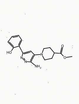 COC(=O)C1CCN(c2cc(-c3ccccc3O)nnc2N)CC1